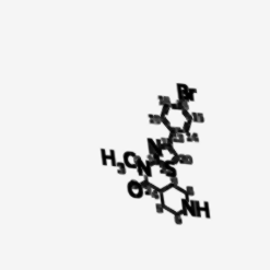 CN(C(=O)C1CCNCC1)c1nc(-c2ccc(Br)cc2)cs1